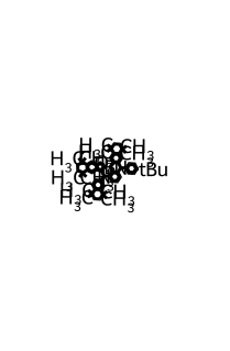 CC(C)(C)c1ccc(N2c3cc4c(cc3B3c5oc6cc7c(cc6c5N(c5ccc6c(c5)C(C)(C)CCC6(C)C)c5cccc2c53)C(C)(C)CCC7(C)C)C(C)(C)CCC4(C)C)cc1